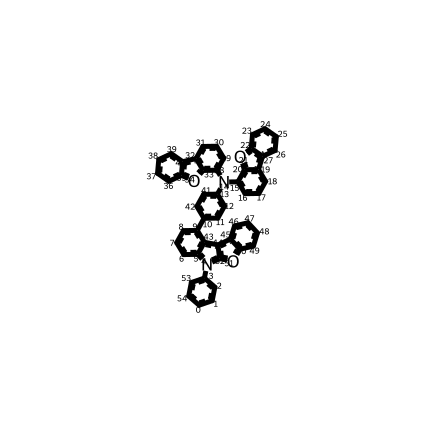 c1ccc(-n2c3cccc(-c4ccc(N(c5cccc6c5oc5ccccc56)c5cccc6c5oc5ccccc56)cc4)c3c3c4ccccc4oc32)cc1